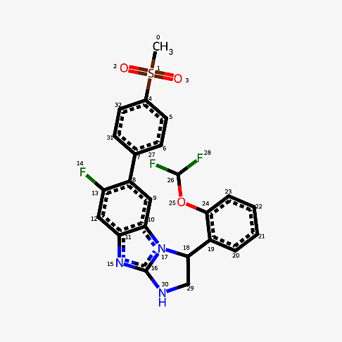 CS(=O)(=O)c1ccc(-c2cc3c(cc2F)nc2n3C(c3ccccc3OC(F)F)CN2)cc1